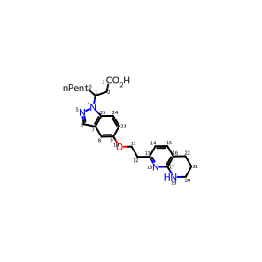 CCCCCC(CC(=O)O)n1ncc2cc(OCCc3ccc4c(n3)NCCC4)ccc21